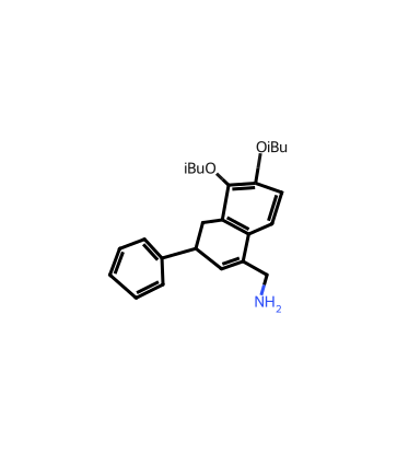 CC(C)COc1ccc2c(c1OCC(C)C)CC(c1ccccc1)C=C2CN